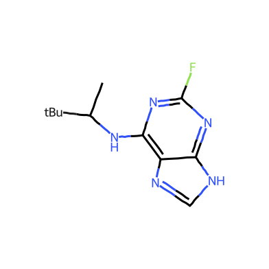 CC(Nc1nc(F)nc2[nH]cnc12)C(C)(C)C